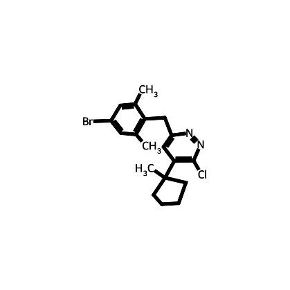 Cc1cc(Br)cc(C)c1Cc1cc(C2(C)CCCC2)c(Cl)nn1